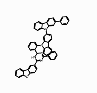 c1ccc(C2=NC(c3ccccc3-n3c4ccccc4c4ccc(-n5c6ccccc6c6ccc(-c7ccccc7)cc65)cc43)NC(c3ccc4oc5ccccc5c4c3)=N2)cc1